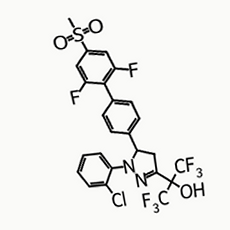 CS(=O)(=O)c1cc(F)c(-c2ccc(C3CC(C(O)(C(F)(F)F)C(F)(F)F)=NN3c3ccccc3Cl)cc2)c(F)c1